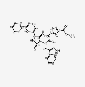 COC(=O)c1csc(NC(=O)[C@H](Cc2c[nH]c3ccccc23)N2C(=O)NC(C3=COC=C(C4=CC=CCC4)O3)C2=O)n1